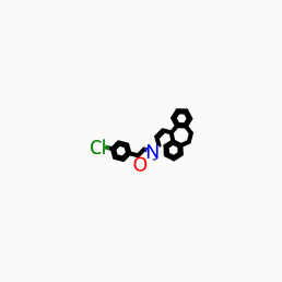 CN(C/C=C\C1c2ccccc2CCc2ccccc21)CC(=O)c1ccc(Cl)cc1